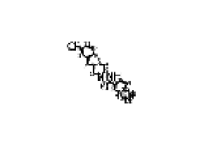 O=C(Nc1ccc(Cc2cccc(Cl)c2)cn1)c1ccc2nncn2c1